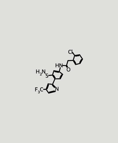 NSc1cc(NC(=O)Cc2ccccc2Cl)ccc1-c1cc(C(F)(F)F)ccn1